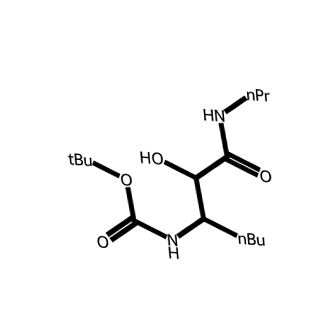 CCCCC(NC(=O)OC(C)(C)C)C(O)C(=O)NCCC